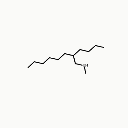 CCCCCCC(CCCC)CNC